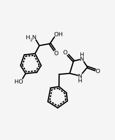 NC(C(=O)O)c1ccc(O)cc1.O=C1NC(=O)C(Cc2ccccc2)N1